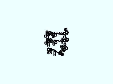 N#Cc1cccc2c1CC(CNCCC1CN(c3ccc4c(n3)NC(=O)CO4)C(=O)O1)C2.O=C1COc2ccc(N3CC(CCCNC4Cc5cccc(Cl)c5C4)OC3=O)nc2N1.O=C1COc2ccc(N3CC(CCNCC4Cc5cccc(Cl)c5C4)OC3=O)nc2N1